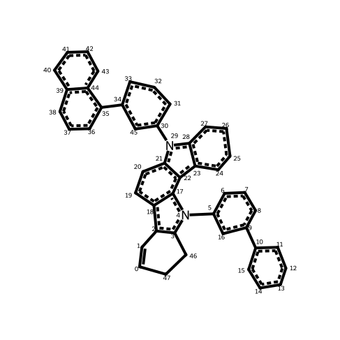 C1=Cc2c(n(-c3cccc(-c4ccccc4)c3)c3c2ccc2c3c3ccccc3n2-c2cccc(-c3cccc4ccccc34)c2)CC1